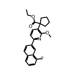 CCOC(=O)C1(c2ccc(-c3ccc4cccc(F)c4c3)nc2OC)CCCC1